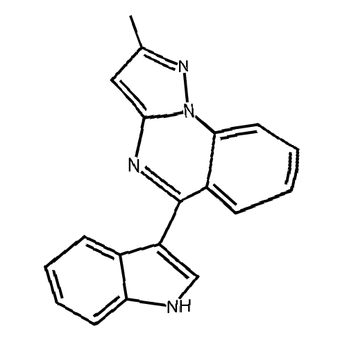 Cc1cc2nc(-c3c[nH]c4ccccc34)c3ccccc3n2n1